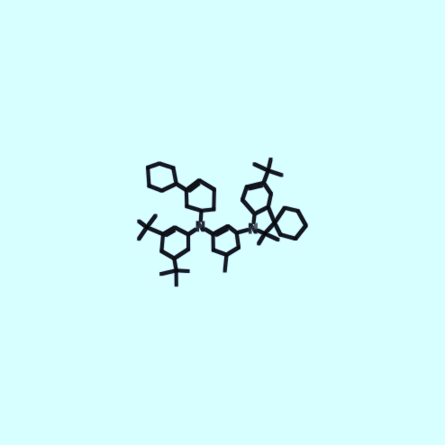 CC1CC(N(C2C=C(C(C)(C)C)CC(C(C)(C)C)C2)C2CCC=C(C3CCCCC3)C2)=CC(N2C3CC=C(C(C)(C)C)CC3C3(CCCCC3)C2(C)C)C1